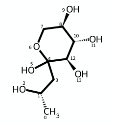 C[C@H](O)CC1(O)OC[C@@H](O)[C@H](O)[C@H]1O